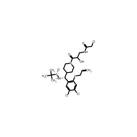 C=CCOc1cc(Cl)c(Cl)cc1[C@H](N[S@@+]([O-])C(C)(C)C)C1CCN(C(=O)C(O)CNC(=O)CCl)CC1